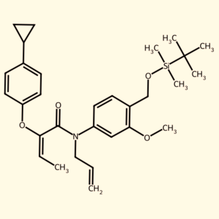 C=CCN(C(=O)C(=CC)Oc1ccc(C2CC2)cc1)c1ccc(CO[Si](C)(C)C(C)(C)C)c(OC)c1